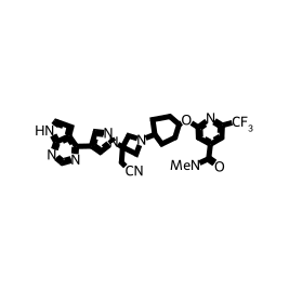 CNC(=O)c1cc(OC2CCC(N3CC(CC#N)(n4cc(-c5ncnc6[nH]ccc56)cn4)C3)CC2)nc(C(F)(F)F)c1